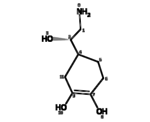 NC[C@@H](O)C1CCC(O)=C(O)C1